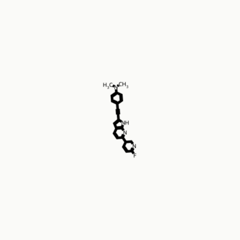 CN(C)c1ccc(C#Cc2cc3ccc(C4C=CC(F)=NC4)nc3[nH]2)cc1